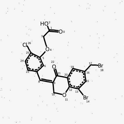 O=C(O)COc1cc(C=C2COc3c(Br)cc(CBr)cc3C2=O)ccc1Cl